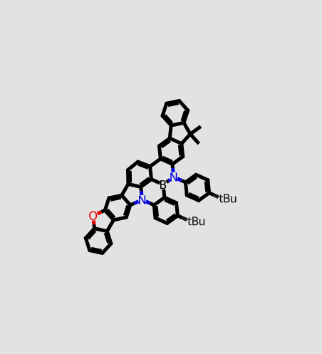 CC(C)(C)c1ccc(N2B3c4cc(C(C)(C)C)ccc4-n4c5cc6c(cc5c5ccc(c3c54)-c3cc4c(cc32)C(C)(C)c2ccccc2-4)oc2ccccc26)cc1